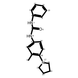 Cc1cc(NC(=O)Nc2ccccc2)ccc1N1CCCC1